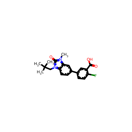 Cn1c(=O)n(CC(C)(C)C)c2ccc(-c3ccc(F)c(C(=O)O)c3)cc21